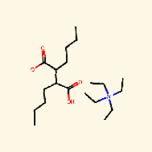 CCCCC(C(=O)[O-])C(CCCC)C(=O)O.CC[N+](CC)(CC)CC